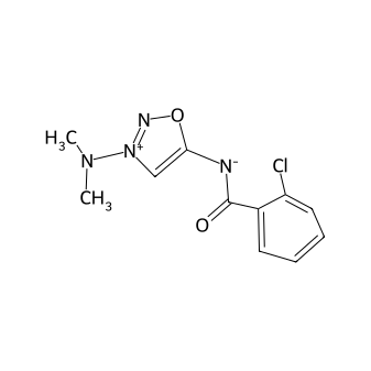 CN(C)[n+]1cc([N-]C(=O)c2ccccc2Cl)on1